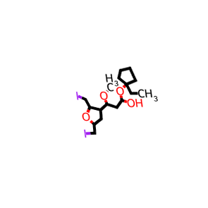 CCC1(OC(O)CC(OC)C2CC(CI)OC2CI)CCCC1